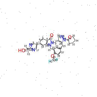 Cn1c(=O)c2ccc(-c3cnc(C(C)(C)O)nc3)cc2n1Cc1cc(Cc2ccnn2C2CCCCO2)ccc1OC(F)F